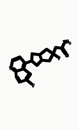 NC(=O)CC1(F)CC2CC(c3ccnc4ccc(F)cc34)CC2C1